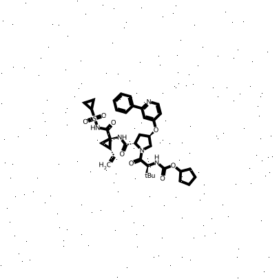 C=C[C@@H]1C[C@]1(NC(=O)[C@@H]1C[C@@H](Oc2ccnc(-c3ccccc3)c2)CN1C(=O)[C@@H](NC(=O)OC1CCCC1)C(C)(C)C)C(=O)NS(=O)(=O)C1CC1